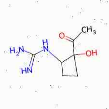 CC(=O)C1(O)CCC1NC(=N)N